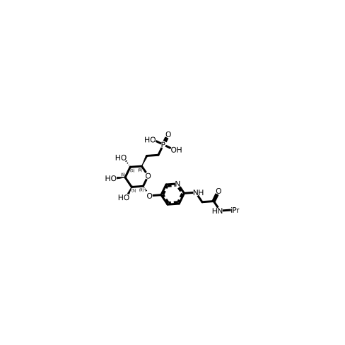 CC(C)NC(=O)CNc1ccc(O[C@H]2O[C@H](CCP(=O)(O)O)[C@@H](O)[C@H](O)[C@@H]2O)cn1